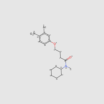 CC(=O)c1cc(OCCCC(=O)N(C)C2CCCCC2)ccc1[N+](=O)[O-]